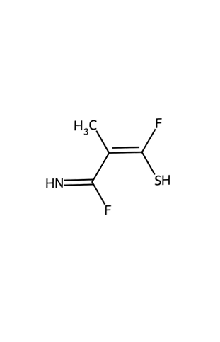 C/C(C(=N)F)=C(\F)S